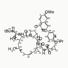 COc1ccc2c(O[C@@H]3C[C@H]4C(=O)NC5(C(=O)NS(=O)(=O)C6CC6)CC5/C=C\CC[C@@H](C)C[C@@H](C)[C@H](NC(=O)NC(C)(C)C)C(=O)N4C3)nc(-c3ccc(OC(C)C)nc3)cc2c1